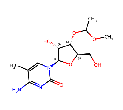 COC(C)O[C@H]1[C@@H](O)[C@H](n2cc(C)c(N)nc2=O)O[C@@H]1CO